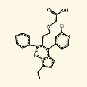 CCc1ccc2c(-c3ccnc(Cl)c3)c(CCOCC(=O)O)c(-c3ccccc3)nn12